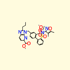 CCCc1nc2ccc(C(=O)OC)nc2n1Cc1ccc(-c2ccccc2S(=O)(=O)N(COC)c2noc(C)c2C)c(COCC)c1